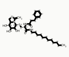 C=C1OCC2[C@@H](O)C(O)C(O)[C@@H](SC[C@H](NC(=O)CCc3ccccc3)C(=O)NCCCCCCCCCCCC)N12